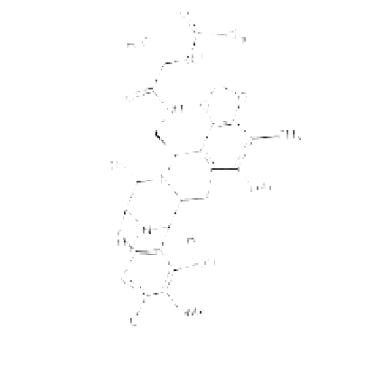 COc1c(C)cc2c(c1O)[C@@H]1C3Cc4c(OC(C)=O)c(C)c5c(c4[C@H](CNC(=O)[C@H](C)NC(=O)C(F)(F)F)N3[C@@H](C#N)C(C2)N1C)OCO5